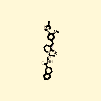 COc1cc(/C=C2\CCCN3C2=NOC[C@@H]3CNC(=O)C2CCc3ccccc3C2)ccc1-n1cnc(C)c1